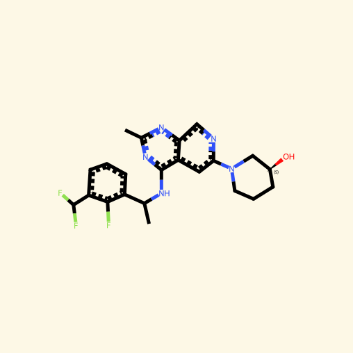 Cc1nc(NC(C)c2cccc(C(F)F)c2F)c2cc(N3CCC[C@H](O)C3)ncc2n1